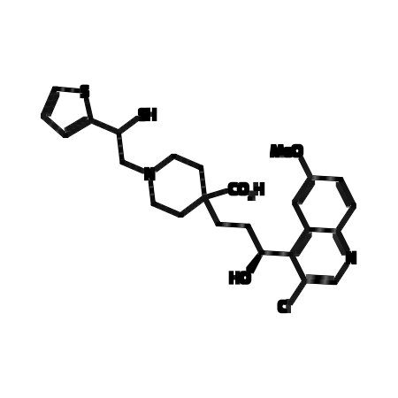 COc1ccc2ncc(Cl)c([C@@H](O)CCC3(C(=O)O)CCN(CC(S)c4cccs4)CC3)c2c1